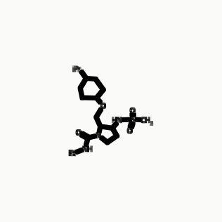 CCNC(=O)N1CCC(NS(C)(=O)=O)C1COC1CCC(C(C)C)CC1